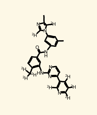 [2H]c1nc([2H])c(-c2ccnc(Nc3cc(C(=O)Nc4cc(C)cc(-n5c([2H])nc(C)c5[2H])c4)ccc3C([2H])([2H])[2H])n2)c([2H])c1[2H]